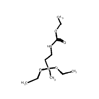 CCOC(=O)NCC[Si](C)(OCC)OCC